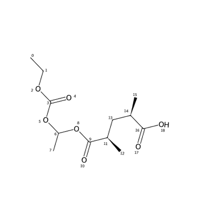 CCOC(=O)OC(C)OC(=O)[C@H](C)C[C@@H](C)C(=O)O